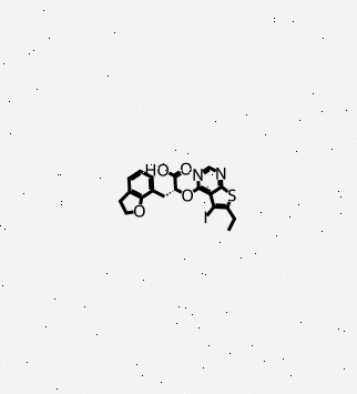 CCc1sc2ncnc(O[C@H](Cc3cccc4c3OCC4)C(=O)O)c2c1I